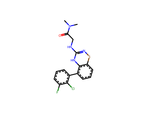 CN(C)C(=O)CNC1=NSc2cccc(-c3cccc(F)c3Cl)c2N1